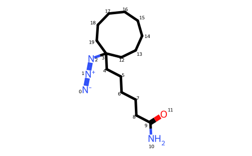 [N-]=[N+]=NC1(CCCCCC(N)=O)CCCCCCCC1